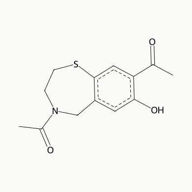 CC(=O)c1cc2c(cc1O)CN(C(C)=O)CCS2